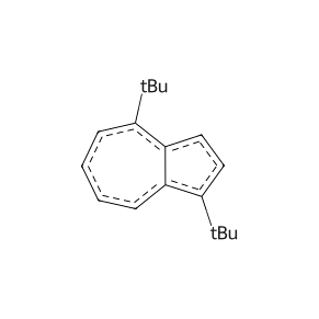 CC(C)(C)c1ccccc2c(C(C)(C)C)ccc1-2